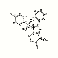 C=C1CCc2c(cc(-c3ccccc3)n2S(=O)(=O)c2ccc(C)cc2)C1=O